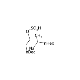 CCCCCCCCCCCCOS(=O)(=O)O.CCCCCC[CH](C)[Na]